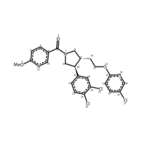 COc1ccc(C(=O)N2C[C@H](CCOc3ccc(Cl)cn3)[C@@H](c3ccc(Cl)c(Cl)c3)C2)cn1